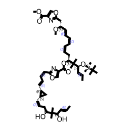 C/C=C/[C@H](O[Si](C)(C)C(C)(C)C)C(C)(C)[C@H](C\C=C/C=C\C=C\[C@@H](Cc1nc(C(=O)OC)co1)OC)OC(=O)c1coc(/C=C\C=C\[C@@H]2C[C@@H]2/C=C\C[C@H](O)C(C)(C)[C@@H](O)/C=C/C)n1